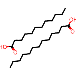 CCCCCCCCCCCC(=O)O.CCCCCCCCCCCCC(=O)O